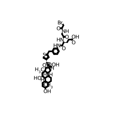 C[C@]12C=CC(O)C=C1CC[C@@H]1[C@@H]2[C@@H](O)C[C@@]2(C)[C@H]1C[C@H]1O[C@@H](c3csc(Cc4cccc(NC(=O)[C@H](CCC(=O)O)NC(=O)CNC(=O)CBr)c4)c3)O[C@]12C(=O)CO